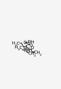 C=CC(=O)NC(CCC)S(=O)(=O)O.CCNCC